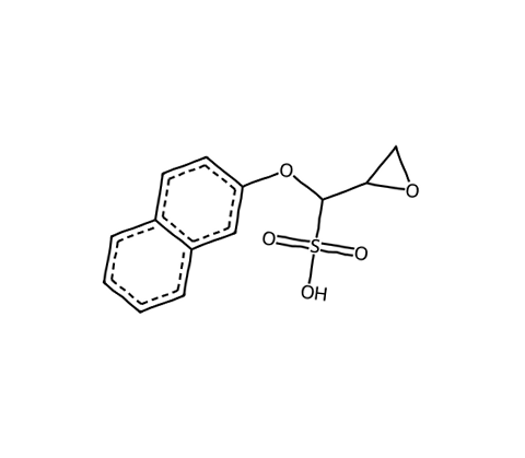 O=S(=O)(O)C(Oc1ccc2ccccc2c1)C1CO1